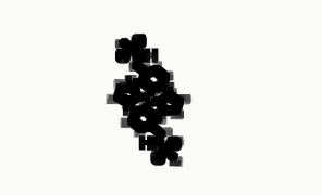 CS(=O)(=O)NCc1ccc(F)[c]([Ti]([c]2c(F)ccc(CNS(C)(=O)=O)c2F)([CH]2C=CC=C2)[CH]2C=CC=C2)c1F